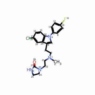 CN(CCc1cn(-c2ccc(F)cc2)c2ccc(Cl)cc12)CCN1CCNC1=O